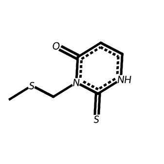 CSCn1c(=O)cc[nH]c1=S